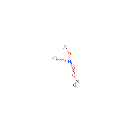 COCCOCCN(CCOCCOCC1(C)C(=O)C1(C)C)CCOCCC(C)(C)C